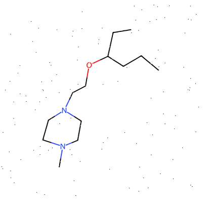 CCCC(CC)OCCN1CCN(C)CC1